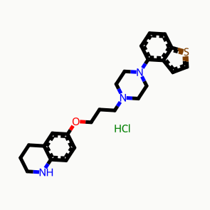 Cl.c1cc(N2CCN(CCCOc3ccc4c(c3)CCCN4)CC2)c2ccsc2c1